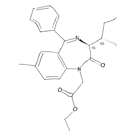 CCOC(=O)CN1C(=O)[C@H]([C@@H](C)CC)N=C(c2ccccc2)c2cc(C)ccc21